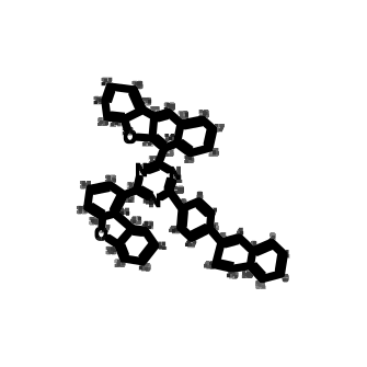 c1ccc2cc(-c3ccc(-c4nc(-c5c6ccccc6cc6c5oc5ccccc56)nc(-c5cccc6oc7ccccc7c56)n4)cc3)ccc2c1